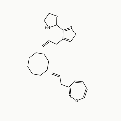 C1CCCCCCC1.C=CCC1=NOC=CC=C1.C=CCc1csnc1C1NCCS1